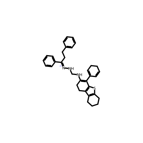 C1=CC(C2=C(NCN/N=C(\CCc3ccccc3)c3ccccc3)CCc3c2sc2c3CCCC2)=CCC1